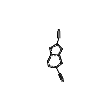 N#Cc1ccc2sc(C#N)cc2c1